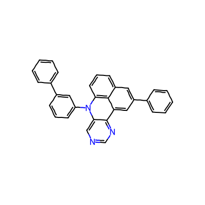 c1ccc(-c2cccc(N3c4cncnc4-c4cc(-c5ccccc5)cc5cccc3c45)c2)cc1